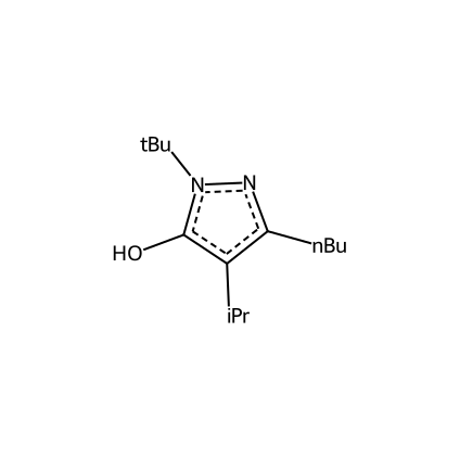 CCCCc1nn(C(C)(C)C)c(O)c1C(C)C